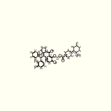 CC1CCC(C(C)C)C(N2CCN(C(=O)OCOc3c4n(ncc3=O)[C@@H]([C@H](c3ccccc3)c3cccc(F)c3F)[C@H]3CCCN3C4=O)CC2)C1